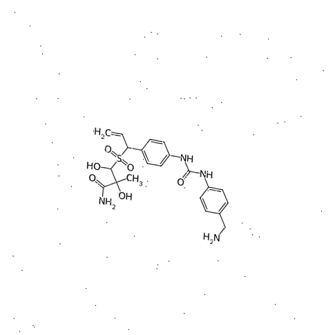 C=CC(c1ccc(NC(=O)Nc2ccc(CN)cc2)cc1)S(=O)(=O)C(O)C(C)(O)C(N)=O